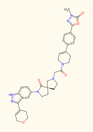 Cn1nc(-c2ccc(C3=CCN(C(=O)CN4CC[C@]5(CCN(c6ccc7[nH]nc(C8=CCOCC8)c7c6)C5=O)C4)CC3)cc2)oc1=O